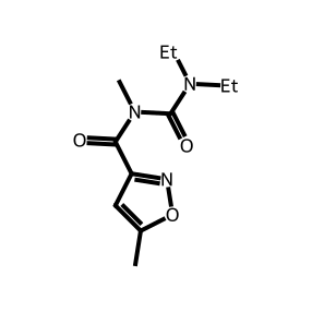 CCN(CC)C(=O)N(C)C(=O)c1cc(C)on1